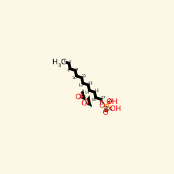 C1CO1.C1CO1.CCCCCCCCCCCCOP(=O)(O)O